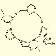 CCOC(=O)[C@@H](OC(C)(C)C)c1c(C)nc2cc3nn2c1-c1ccc(C)c(c1)OCc1cccc(n1)COc1cc(F)ccc1-c1cccc-3c1